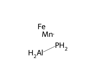 [AlH2][PH2].[Fe].[Mn]